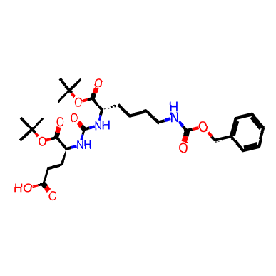 CC(C)(C)OC(=O)[C@H](CCCCNC(=O)OCc1ccccc1)NC(=O)N[C@@H](CCC(=O)O)C(=O)OC(C)(C)C